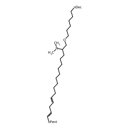 CCCCCC=CCC=CCCCCCCCCCC(COCCCCCCCCCCCCCCCC)N(C)C